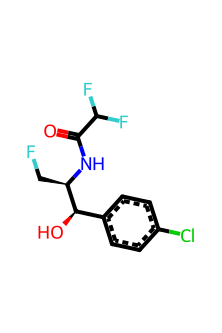 O=C(N[C@H](CF)[C@H](O)c1ccc(Cl)cc1)C(F)F